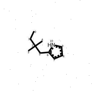 CCC(C)(C)Cc1ccc[nH]1